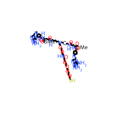 COC(=O)[C@H](CCC(=O)NCCCCCN(CCCCCNC(=O)CC[C@H](NC(=O)c1ccc(N(C)Cc2cnc3nc(N)nc(N)c3n2)cc1)C(=O)OC)CCOCCOCCNC(=O)CCOCCOCCOCCOCCS)NC(=O)c1ccc(N(C)Cc2cnc3nc(N)nc(N)c3n2)cc1